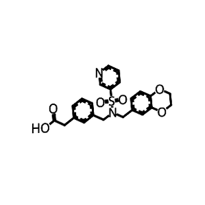 O=C(O)Cc1cccc(CN(Cc2ccc3c(c2)OCCO3)S(=O)(=O)c2cccnc2)c1